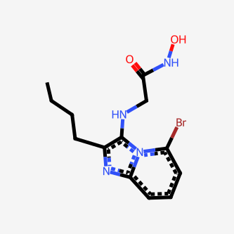 CCCCc1nc2cccc(Br)n2c1NCC(=O)NO